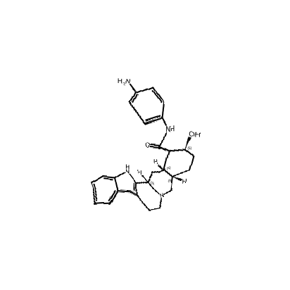 Nc1ccc(NC(=O)C2[C@H]3C[C@H]4c5[nH]c6ccccc6c5CCN4C[C@H]3CC[C@@H]2O)cc1